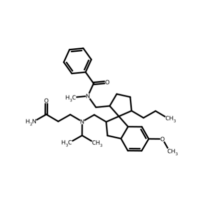 CCCC1CCC(CN(C)C(=O)c2ccccc2)C12C(CN(CCC(N)=O)C(C)C)CC1C=CC(OC)=CC12